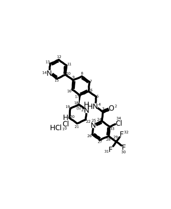 Cl.Cl.O=C(NCc1ccc(-c2cccnc2)cc1[C@@H]1CCCCN1)c1nccc(C(F)(F)F)c1Cl